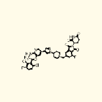 CC(Oc1cc(-c2cnn(C3CCN(Cc4cc(F)c5c(c4)C(=O)N(C4CCC(=O)NC4=O)C5=O)CC3)c2)cnc1N)c1c(Cl)ccc(F)c1Cl